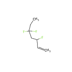 C=CC(F)CC(F)(F)CC